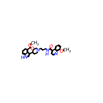 COC(=O)c1cccc2[nH]cc(C3CCN(CCCNC(=O)c4ccnc5c(OC)cccc45)CC3)c12